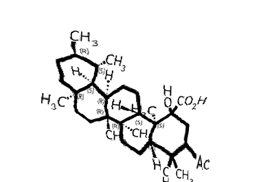 CC(=O)C1CC(O)(C(=O)O)[C@]2(C)[C@H]3CC[C@@H]4[C@@H]5[C@@H](C)[C@H](C)CC[C@]5(C)CC[C@@]4(C)[C@]3(C)CC[C@H]2C1(C)C